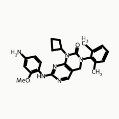 COc1cc(N)ccc1Nc1ncc2c(n1)N(C1CCC1)C(=O)N(c1c(C)cccc1C)C2